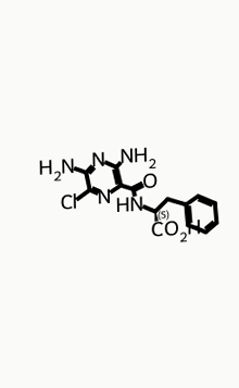 Nc1nc(N)c(C(=O)N[C@@H](Cc2ccccc2)C(=O)O)nc1Cl